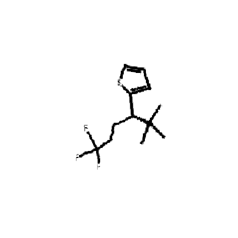 CC(C)(C)C(CCC(F)(F)F)c1cccs1